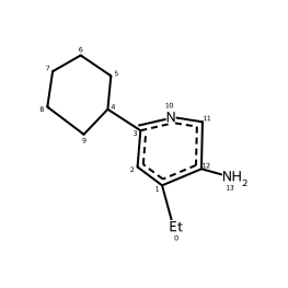 CCc1cc(C2CCCCC2)ncc1N